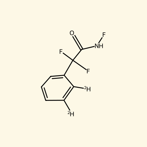 [2H]c1cccc(C(F)(F)C(=O)NF)c1[2H]